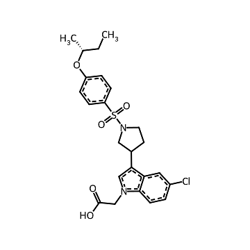 CC[C@@H](C)Oc1ccc(S(=O)(=O)N2CCC(c3cn(CC(=O)O)c4ccc(Cl)cc34)C2)cc1